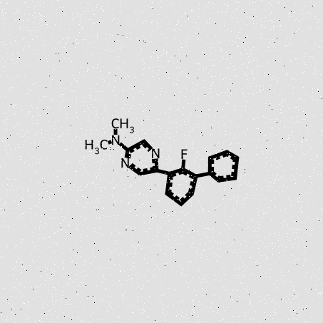 CN(C)c1cnc(-c2cccc(-c3ccccc3)c2F)cn1